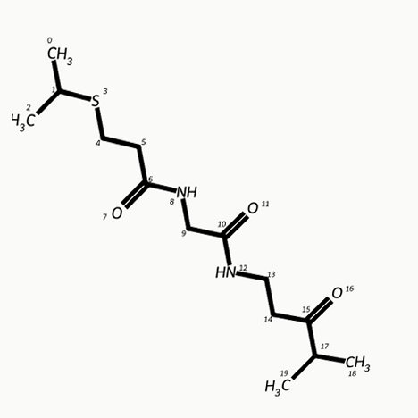 CC(C)SCCC(=O)NCC(=O)NCCC(=O)C(C)C